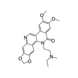 CCN(C)CCn1c(=O)c2cc(OC)c(OC)cc2c2cnc3cc4c(cc3c21)OCO4